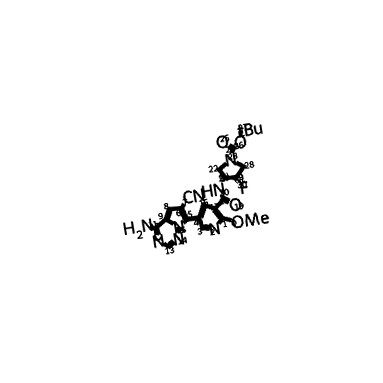 COc1ncc(-c2c(C#N)cc3c(N)ncnn23)cc1C(=O)N[C@@H]1CN(C(=O)OC(C)(C)C)C[C@@H]1F